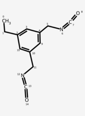 CCc1cc(CN=C=O)cc(CN=C=O)c1